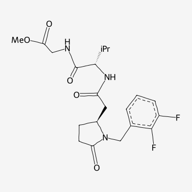 COC(=O)CNC(=O)[C@@H](NC(=O)C[C@@H]1CCC(=O)N1Cc1cccc(F)c1F)C(C)C